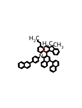 C=CCc1ccc(N(c2ccc(-c3ccc4ccccc4c3)cc2)c2c(-c3cccc4c3-c3ccccc3C4(C)C)cc(-c3cccc4ccccc34)c3ccccc23)cc1